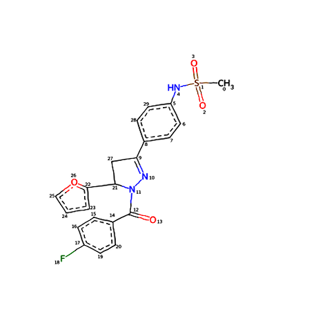 CS(=O)(=O)Nc1ccc(C2=NN(C(=O)c3ccc(F)cc3)C(c3ccco3)C2)cc1